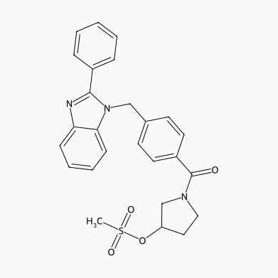 CS(=O)(=O)OC1CCN(C(=O)c2ccc(Cn3c(-c4ccccc4)nc4ccccc43)cc2)C1